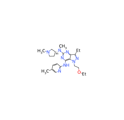 CCOCCn1nc(CC)c2nc(N(C)[C@@H]3CCN(C)C3)nc(Nc3ccc(C)cn3)c21